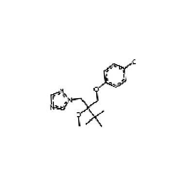 COC(COc1ccc(Cl)cc1)(Cn1cncn1)C(C)(C)C